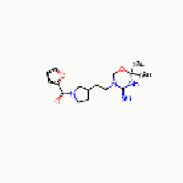 CCCCC1(CCCC)NC(=N)N(CCC2CCN(C(=O)c3ccco3)C2)CO1